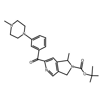 CC1c2cc(C(=O)c3cccc(N4CCN(C)CC4)c3)ncc2CN1C(=O)OC(C)(C)C